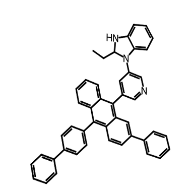 CCC1Nc2ccccc2N1c1cncc(-c2c3ccccc3c(-c3ccc(-c4ccccc4)cc3)c3ccc(-c4ccccc4)cc23)c1